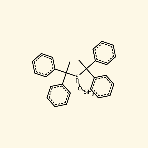 CC(c1ccccc1)(c1ccccc1)[SiH](O[SiH3])C(C)(c1ccccc1)c1ccccc1